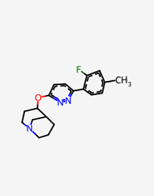 Cc1ccc(-c2ccc(OC3CCN4CCCC3C4)nn2)c(F)c1